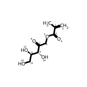 C=C(C)C(=O)OCC(=O)[C@H](O)[C@H](O)CO